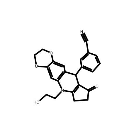 N#Cc1cccc(C2C3=C(CCC3=O)N(CCO)c3cc4c(cc32)OCCO4)c1